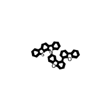 c1ccc2c(c1)oc1c(-c3cccc4oc5ccc(-n6c7ccccc7c7ccc8c9ccccc9sc8c76)cc5c34)cccc12